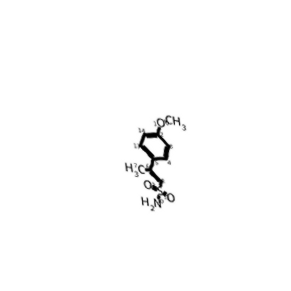 COc1ccc(C(C)=CS(N)(=O)=O)cc1